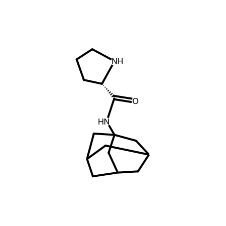 O=C(NC12CC3CC(CC(C3)C1)C2)[C@@H]1CCCN1